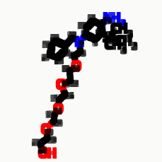 C[Si](C)(C)c1cc(N(CCOCCOCCOCCOCCO)Cc2ccccc2)ccc1N